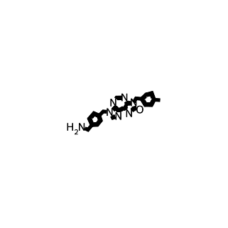 Cc1ccc(Cn2c3ncnc4c(ncn4Cc4ccc(CN)cc4)c-3nc2=O)cc1